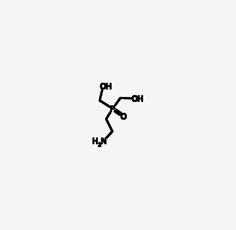 NCCP(=O)(CO)CO